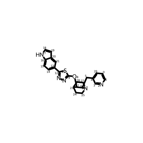 c1cncc(CC2C(Oc3nnc(-c4ccc5[nH]ccc5c4)s3)C3CCN2CC3)c1